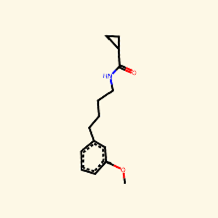 COc1cccc(CCCCNC(=O)C2CC2)c1